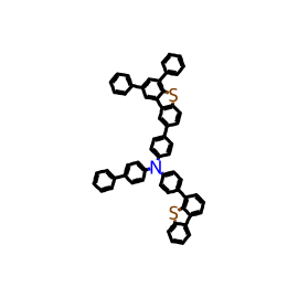 c1ccc(-c2ccc(N(c3ccc(-c4ccc5sc6c(-c7ccccc7)cc(-c7ccccc7)cc6c5c4)cc3)c3ccc(-c4cccc5c4sc4ccccc45)cc3)cc2)cc1